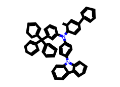 CC1C=C(c2ccccc2)C=CC1N(c1ccc(-n2c3ccccc3c3ccccc32)cc1)c1cccc(C(C2=CCCC=C2)(C2=CC=CCC2)c2ccccc2)c1